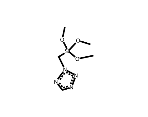 CO[Si](Cn1ncnn1)(OC)OC